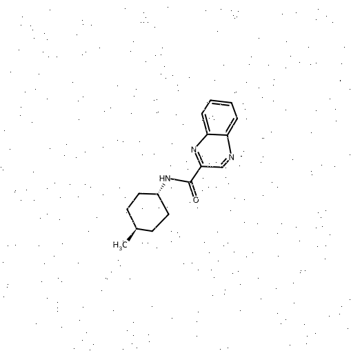 C[C@H]1CC[C@H](NC(=O)c2cnc3ccccc3n2)CC1